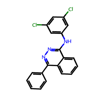 Clc1cc(Cl)cc(Nc2nnc(-c3ccccc3)c3ccccc23)c1